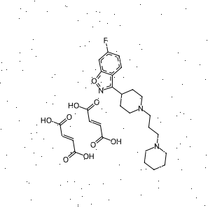 Fc1ccc2c(C3CCN(CCCN4CCCCC4)CC3)noc2c1.O=C(O)C=CC(=O)O.O=C(O)C=CC(=O)O